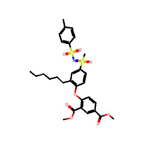 CCCCCCc1cc(S(C)(=O)=NS(=O)(=O)c2ccc(C)cc2)ccc1Oc1ccc(C(=O)OC)cc1C(=O)OC